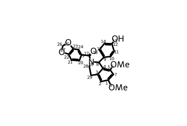 COc1cc2c(c(OC)c1)C(c1ccc(O)cc1)N(C(=O)c1ccc3c(c1)OCO3)CC2